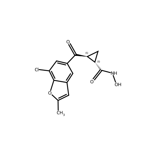 Cc1cc2cc(C(=O)[C@H]3C[C@@H]3C(=O)NO)cc(Cl)c2o1